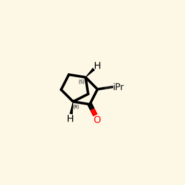 CC(C)C1C(=O)[C@@H]2CC[C@H]1C2